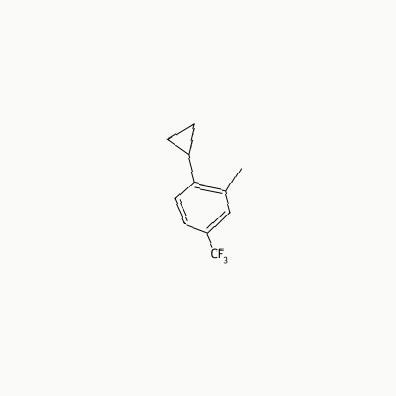 Cc1cc(C(F)(F)F)ccc1C1CC1